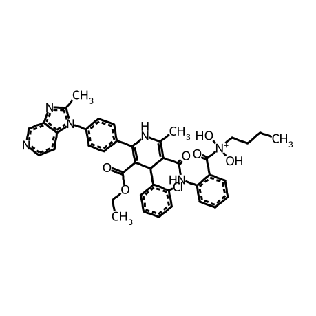 CCCC[N+](O)(O)C(=O)c1ccccc1NC(=O)C1=C(C)NC(c2ccc(-n3c(C)nc4cnccc43)cc2)=C(C(=O)OCC)C1c1ccccc1Cl